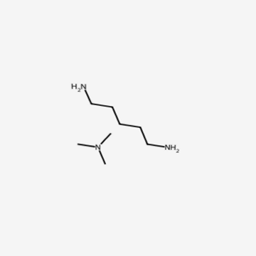 CN(C)C.NCCCCCN